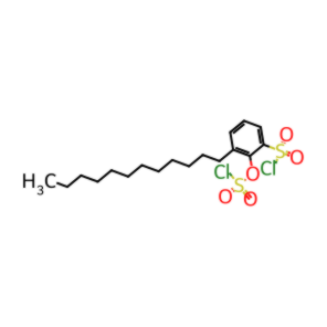 CCCCCCCCCCCCc1cccc(S(=O)(=O)Cl)c1OS(=O)(=O)Cl